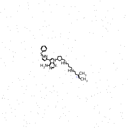 C/C=C(\C)CCNCCCNCC1CCC(n2cc(-c3ccn(Sc4ccccc4)n3)c3c(N)ncnc32)C1